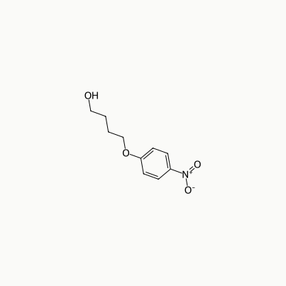 O=[N+]([O-])c1ccc(OCCCCO)cc1